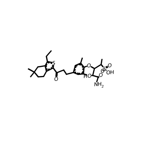 CCc1sc(C(=O)CCc2cc(C)c(OC(C(O)C(N)=O)C(C)S(=O)(=O)O)c(C)c2)c2c1CC(C)(C)CC2